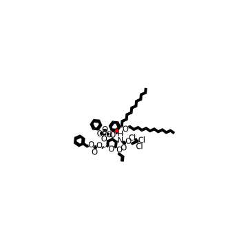 C=CCO[C@H]1O[C@H](COC(=O)OCc2ccccc2)[C@@H](OP(=O)(Oc2ccccc2)Oc2ccccc2)[C@H](OCC[C@H](CCCCCCCCCCC)OCCCCCCCCCCCC)[C@@H]1NC(=O)OCC(Cl)(Cl)Cl